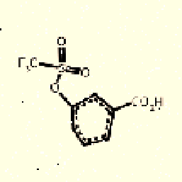 O=C(O)c1cccc(OS(=O)(=O)C(F)(F)F)c1